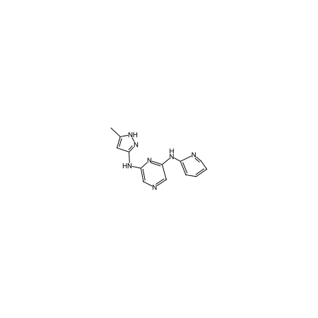 Cc1cc(Nc2cncc(Nc3ccccn3)n2)n[nH]1